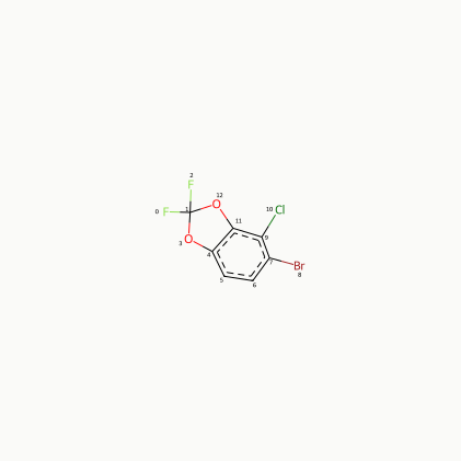 FC1(F)Oc2ccc(Br)c(Cl)c2O1